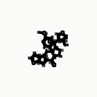 COc1ccc(C23Cn4c(cc5occc54)C(=O)N2CCN3C(=O)c2conc2C)cc1